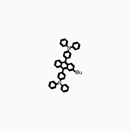 CCC(C)c1ccc2c(-c3ccc(N(c4ccccc4)c4ccccc4)cc3)c3ccccc3c(-c3ccc(N(c4ccccc4)c4ccccc4)cc3)c2c1